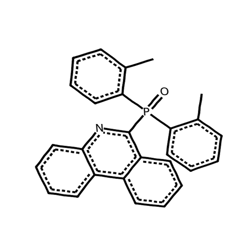 Cc1ccccc1P(=O)(c1ccccc1C)c1nc2ccccc2c2ccccc12